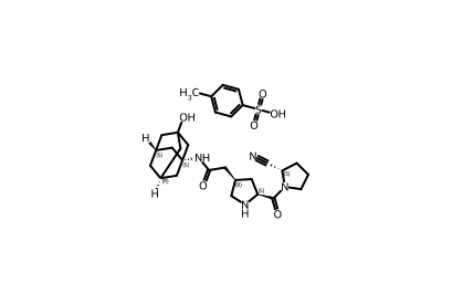 Cc1ccc(S(=O)(=O)O)cc1.N#C[C@@H]1CCCN1C(=O)[C@@H]1C[C@H](CC(=O)N[C@]23C[C@@H]4C[C@@H](CC(O)(C4)C2)C3)CN1